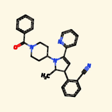 CC1C(c2ccccc2C#N)C=C(c2ccccn2)N1C1CCN(C(=O)c2ccccc2)CC1